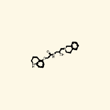 O=C(COc1cccc2c1CCCN2)NCC(O)CN1CCc2ccccc2C1